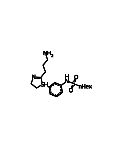 CCCCCCS(=O)(=O)Nc1cccc([SH]2CCN=C2CCCN)c1